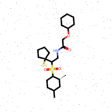 CC1CCC(S(=O)(=O)C(CNC(=O)COC2CCCCC2)C2(S)CCCC2)[C@H](C)C1